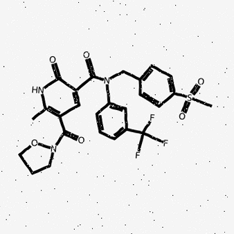 Cc1[nH]c(=O)c(C(=O)N(Cc2ccc(S(C)(=O)=O)cc2)c2cccc(C(F)(F)F)c2)cc1C(=O)N1CCCO1